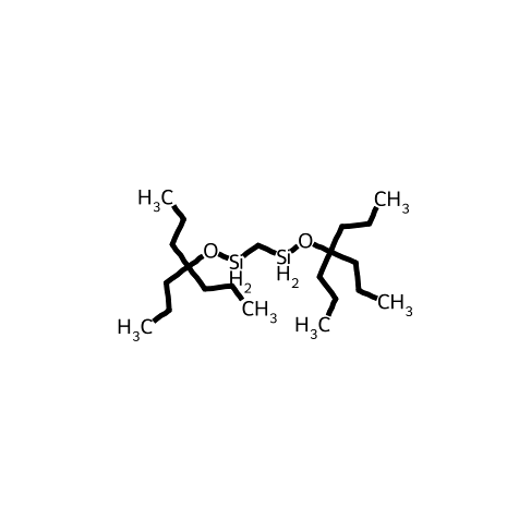 CCCC(CCC)(CCC)O[SiH2]C[SiH2]OC(CCC)(CCC)CCC